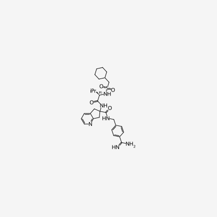 CC(C)[C@@H](NS(=O)(=O)CC1CCCCC1)C(=O)NC1(C(=O)NCc2ccc(C(=N)N)cc2)Cc2cccnc2C1